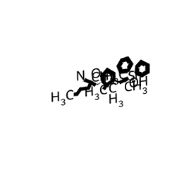 CCCC[C@@](C)(C#N)C[C@@H]1C(=O)C=C[C@@H](CC(C)(C)[Si](O)(c2ccccc2)c2ccccc2)C1(C)C